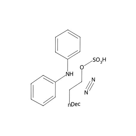 CCCCCCCCCCCCOS(=O)(=O)O.N#N.c1ccc(Nc2ccccc2)cc1